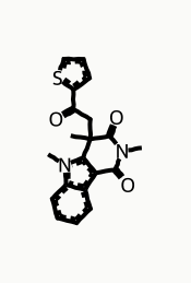 CN1C(=O)c2c(n(C)c3ccccc23)C(C)(CC(=O)c2cccs2)C1=O